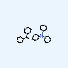 C(=C(c1ccccc1)c1ccccc1)c1ccc(N(c2ccccc2)c2ccccc2)cc1